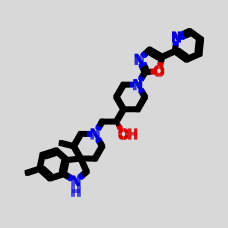 Cc1ccc2c(c1)NCC21CCN(C[C@H](O)C2CCN(c3ncc(-c4ccccn4)o3)CC2)CC1C